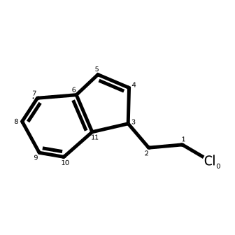 ClCCC1C=Cc2[c]cccc21